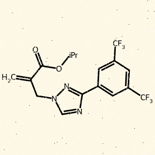 C=C(Cn1cnc(-c2cc(C(F)(F)F)cc(C(F)(F)F)c2)n1)C(=O)OC(C)C